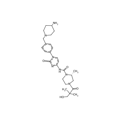 C[C@@H]1CN(C(=O)C(C)(C)CO)CCN1C(=O)Nc1ccn(-c2ccc(CN3CCC(N)CC3)cc2)c(=O)n1